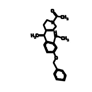 C=C(C1=CCN(C(C)=O)CC1)c1ccc(OCc2ccccc2)cc1NC